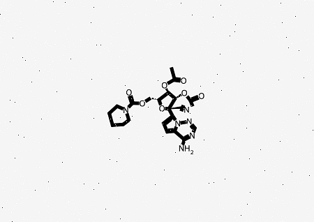 CC(=O)O[C@H]1[C@@H](OC(C)=O)[C@](C#N)(c2ccc3c(N)ncnn23)O[C@@H]1COC(=O)N1CCCCC1